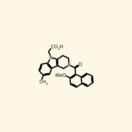 COc1ccc2ccccc2c1C(=O)N1CCc2c(c3cc(C)ccc3n2CC(=O)O)C1